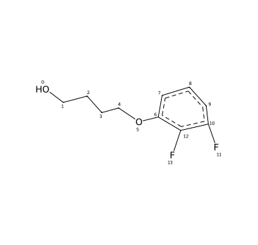 OCCCCOc1cccc(F)c1F